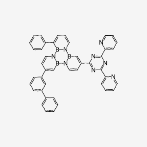 C1=CN2B3C=C(c4nc(-c5ccccn5)nc(-c5ccccn5)n4)C=CN3B3C=C(c4cccc(-c5ccccc5)c4)C=CN3B2C(c2ccccc2)=C1